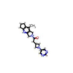 Cc1c2c(nc3c1CN(C(=O)CC1CN(c4cncnc4)C1)C3)CCC2